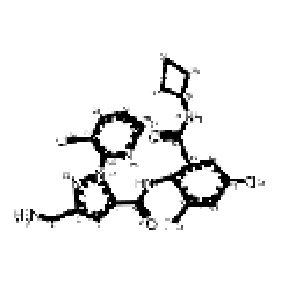 NCc1cc(C(=O)Nc2c(Cl)cc(Cl)cc2C(=O)NC2CCC2)n(-c2ncccc2Cl)n1